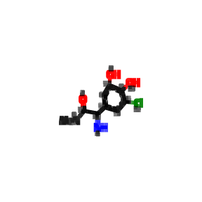 CNC(=O)C(=N)c1cc(O)c(O)c(Cl)c1